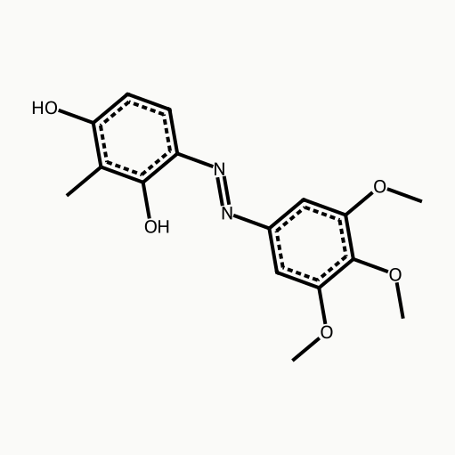 COc1cc(N=Nc2ccc(O)c(C)c2O)cc(OC)c1OC